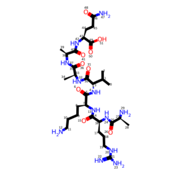 CC(C)[C@H](NC(=O)[C@H](CCCCN)NC(=O)[C@H](CCCNC(=N)N)NC(=O)[C@H](C)N)C(=O)N[C@@H](C)C(=O)N[C@@H](C)C(=O)N[C@@H](CCC(N)=O)C(=O)O